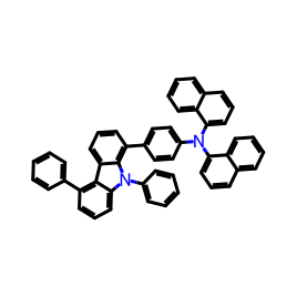 c1ccc(-c2cccc3c2c2cccc(-c4ccc(N(c5cccc6ccccc56)c5cccc6ccccc56)cc4)c2n3-c2ccccc2)cc1